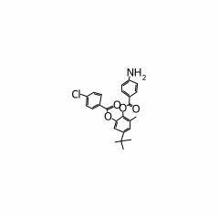 Cc1cc(C(C)(C)C)cc(OC(=O)c2ccc(Cl)cc2)c1OC(=O)c1ccc(N)cc1